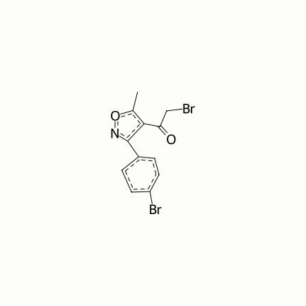 Cc1onc(-c2ccc(Br)cc2)c1C(=O)CBr